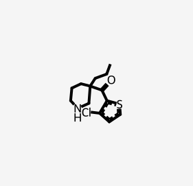 CCCC1(C(=O)c2sccc2Cl)CCCNC1